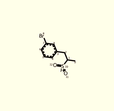 CC(Cc1cc[c]c(Br)c1)[SH](=O)=O